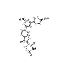 CSN1CCN(c2cc(N)nc(-c3ccc4c(c3)CN(C3CCC(=O)NC3=O)C4=O)c2)CC1